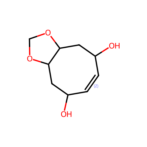 OC1/C=C\C(O)CC2OCOC2C1